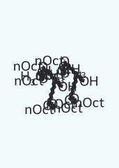 CCCCCCCCOC(CCCCCN(CCO)CCCCCCCC(=O)OC(CCCCCCCC)CCCCCCCC)O[Si](C)(C)OCCCCCCCC.CCCCCCCCOC(CCCCCN(CCO)CCCCCCCC(=O)OC(CCCCCCCC)CCCCCCCC)O[Si](C)(C)OCCCCCCCC